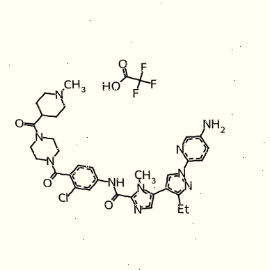 CCc1nn(-c2ccc(N)cn2)cc1-c1cnc(C(=O)Nc2ccc(C(=O)N3CCN(C(=O)C4CCN(C)CC4)CC3)c(Cl)c2)n1C.O=C(O)C(F)(F)F